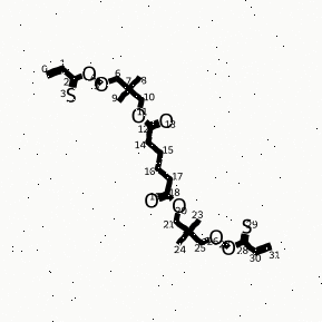 C=CC(=S)OOCC(C)(C)COC(=O)CCCCC(=O)OCC(C)(C)COOC(=S)C=C